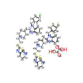 Fc1ccc(Cn2c(CC3CCN(CCSc4nc5cccnc5s4)CC3)nc3ccccc32)cc1.Fc1ccc(Cn2c(CC3CCN(CCSc4nc5cccnc5s4)CC3)nc3ccccc32)cc1.O=C(O)C(=O)O